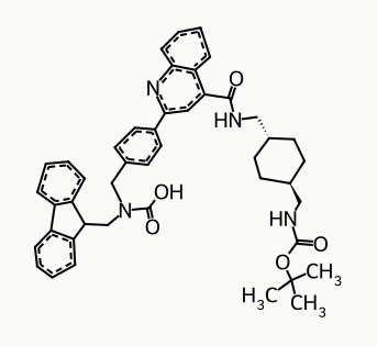 CC(C)(C)OC(=O)NC[C@H]1CC[C@H](CNC(=O)c2cc(-c3ccc(CN(CC4c5ccccc5-c5ccccc54)C(=O)O)cc3)nc3ccccc23)CC1